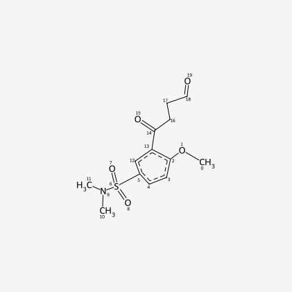 COc1ccc(S(=O)(=O)N(C)C)cc1C(=O)CCC=O